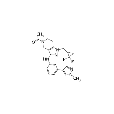 CC(=O)N1CCc2c(c(Nc3cccc(-c4cnn(C)c4)c3)nn2CC2CC2(F)F)C1